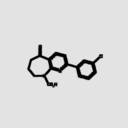 O=C1CCCN(C(=O)O)c2nc(-c3cccc(Cl)c3)ccc21